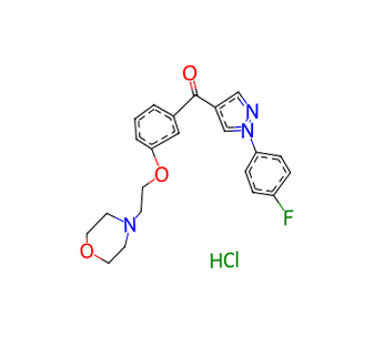 Cl.O=C(c1cccc(OCCN2CCOCC2)c1)c1cnn(-c2ccc(F)cc2)c1